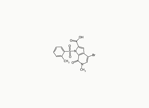 Cc1ccccc1S(=O)(=O)n1c(C(=O)O)cc2c(Br)cn(C)c(=O)c21